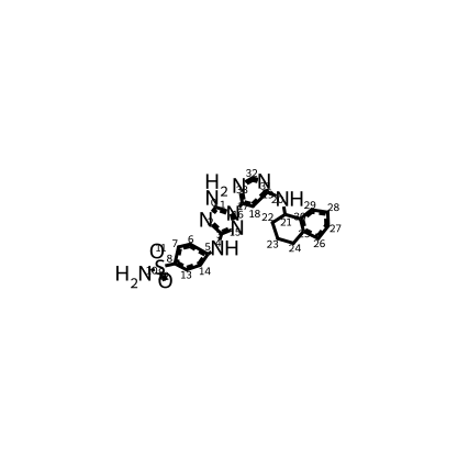 Nc1nc(Nc2ccc(S(N)(=O)=O)cc2)nn1-c1cc(NC2CCCc3ccccc32)ncn1